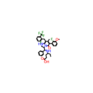 CCC(CCC(=O)O)NC(c1ccccc1)C1CNc2c(Cc3c(F)cccc3C(F)(F)F)c(C)c(-c3cccc(OC)c3F)c(=O)n21